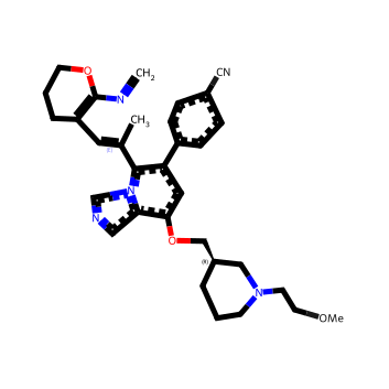 C=NC1=C(/C=C(\C)c2c(-c3ccc(C#N)cc3)cc(OC[C@@H]3CCCN(CCOC)C3)c3cncn23)CCCO1